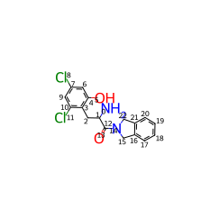 NC(Cc1c(O)cc(Cl)cc1Cl)C(=O)N1Cc2ccccc2C1